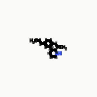 C=CCc1ccc(CC=C)c(C2CCCNC2)c1